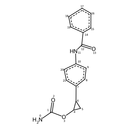 NC(=O)OC1CC1c1ccc(NC(=O)c2ccccc2)cc1